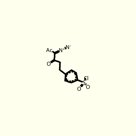 CC(=O)C(=[N+]=[N-])C(=O)CCc1ccc(S(=O)(=O)Cl)cc1